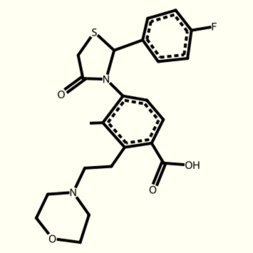 Cc1c(N2C(=O)CSC2c2ccc(F)cc2)ccc(C(=O)O)c1CCN1CCOCC1